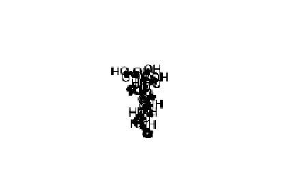 Cc1ccccc1C[C@H](NC(=O)[C@H](CCC(=O)O)NC(=O)[C@H](CC(=O)O)NC(=O)CCC(=O)O)C(=O)N[C@H](C(=O)N[C@@H](CC(C)C)C(=O)NNC(CC#N)C(=O)C(=O)NCc1ccccc1)C(C)(C)C